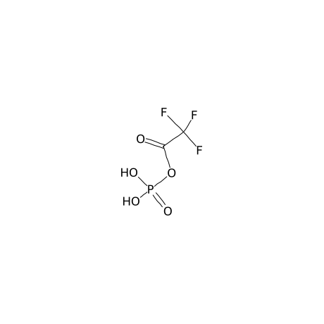 O=C(OP(=O)(O)O)C(F)(F)F